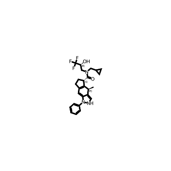 C[C@H]1C2=CNN(c3ccccc3)C2=CC2=C1[C@@H](C(=O)N(CC1CC1)C[C@@H](O)C(F)(F)F)CC2